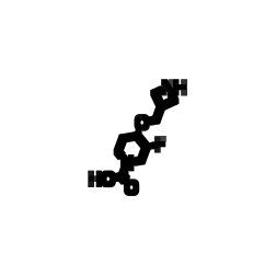 O=C(O)N1CC[C@H](OCC2CNC2)[C@@H](F)C1